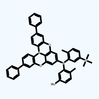 Cc1ccc(C(C)(C)C)cc1N(c1cc2c3c(c1)Oc1cc(-c4ccccc4)ccc1B3c1ccc(-c3ccccc3)cc1O2)c1cc([Si](C)(C)C)ccc1C